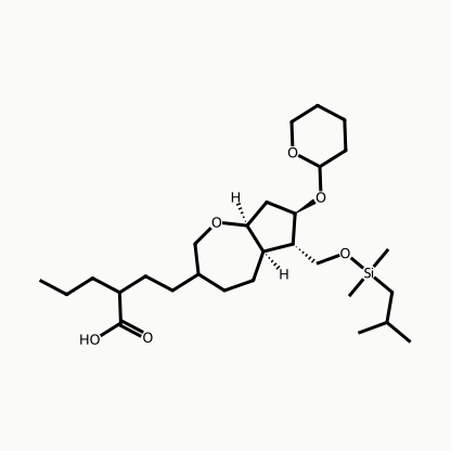 CCCC(CCC1CC[C@@H]2[C@@H](CO[Si](C)(C)CC(C)C)[C@H](OC3CCCCO3)C[C@@H]2OC1)C(=O)O